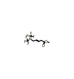 COC(=O)C/C=C/CN(C(F)(F)F)C(F)(F)F